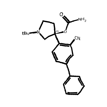 CC(C)(C)N1CC[C@](OC(N)=O)(c2ccc(-c3ccccc3)cc2C#N)C1